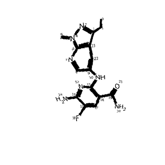 CCc1nn(C)c2ncc(Nc3nc(N)c(F)cc3C(N)=O)cc12